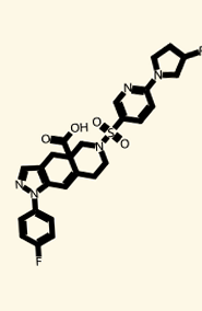 O=C(O)C12Cc3cnn(-c4ccc(F)cc4)c3C=C1CCN(S(=O)(=O)c1ccc(N3CCC(F)C3)nc1)C2